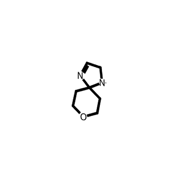 C1=NC2(CCOCC2)[N]C1